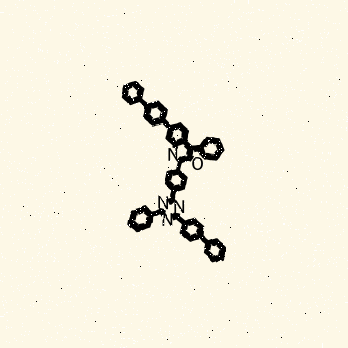 c1ccc(-c2ccc(-c3ccc4c(c3)nc(-c3ccc(-c5nc(-c6ccccc6)nc(-c6ccc(-c7ccccc7)cc6)n5)cc3)c3oc5ccccc5c34)cc2)cc1